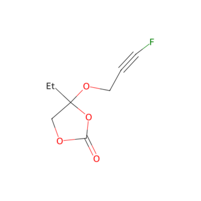 CCC1(OCC#CF)COC(=O)O1